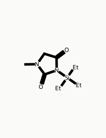 CC[Si](CC)(CC)N1C(=O)CN(C)C1=O